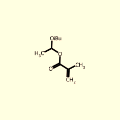 C=C(C)C(=O)OC(C)OCC(C)C